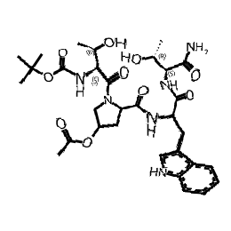 CC(=O)OC1CC(C(=O)NC(Cc2c[nH]c3ccccc23)C(=O)N[C@H](C(N)=O)[C@@H](C)O)N(C(=O)[C@@H](NC(=O)OC(C)(C)C)[C@@H](C)O)C1